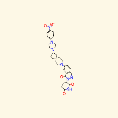 O=C1CCC(n2ncc3ccc(N4CCC5(CCC(N6CCN(c7ccc([N+](=O)[O-])cc7)CC6)C5)CC4)cc3c2=O)C(=O)N1